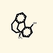 CNCc1c2cccc1-c1c(O)cccc1CCC2